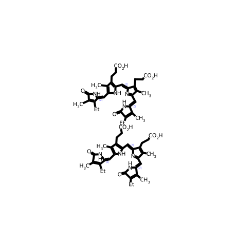 CCC1=C(C)/C(=C/C2=NC(=C\c3[nH]c(/C=C4\NC(=O)C(C)=C4CC)c(C)c3CCC(=O)O)/C(CCC(=O)O)=C2C)NC1=O.CCC1=C(C)/C(=C/C2=NC(=C\c3[nH]c(/C=C4\NC(=O)C(C)=C4CC)c(C)c3CCC(=O)O)/C(CCC(=O)O)=C2C)NC1=O